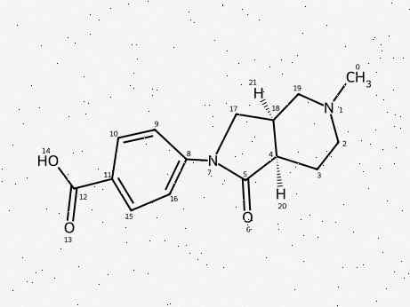 CN1CC[C@H]2C(=O)N(c3ccc(C(=O)O)cc3)C[C@H]2C1